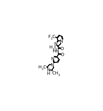 CC1CN(c2ccc(C(=O)NC(=O)C3(C)CN4C=CC=C(C(F)(F)F)C4=N3)cn2)CC(C)N1